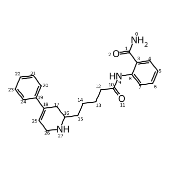 NC(=O)c1ccccc1NC(=O)CCCCC1CC(c2ccccc2)=CCN1